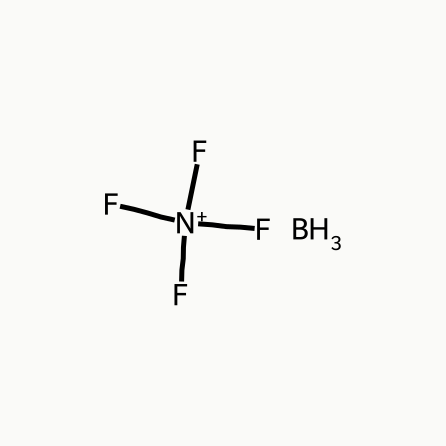 B.F[N+](F)(F)F